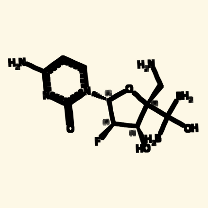 BC(B)(O)[C@@]1(CN)O[C@@H](n2ccc(N)nc2=O)[C@H](F)[C@@H]1O